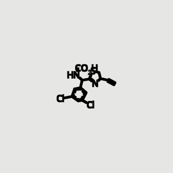 C#CC1CSC(C(NC(=O)O)c2cc(Cl)cc(Cl)c2)=N1